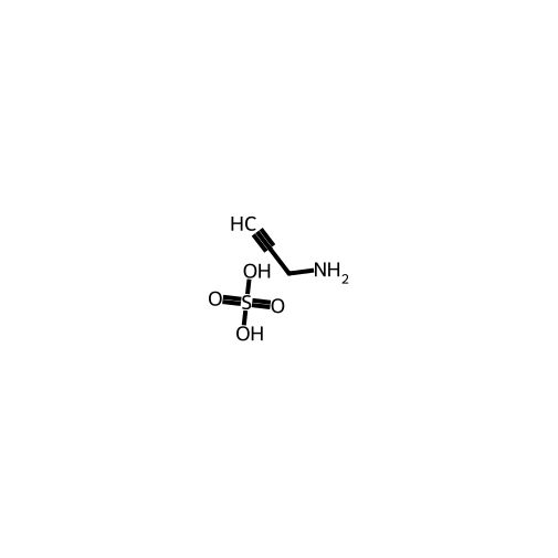 C#CCN.O=S(=O)(O)O